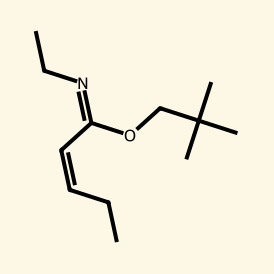 CC/C=C\C(=N/CC)OCC(C)(C)C